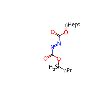 CCCCCCCOC(=O)N=NC(=O)O[SiH2]CCC